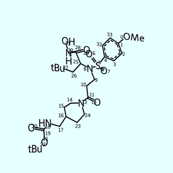 COc1ccc(S(=O)(=O)N(CCC(=O)N2CCC(CNC(=O)OC(C)(C)C)CC2)C(CC(C)(C)C)C(=O)NO)cc1